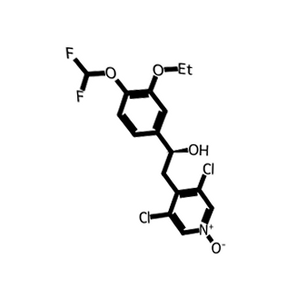 CCOc1cc([C@@H](O)Cc2c(Cl)c[n+]([O-])cc2Cl)ccc1OC(F)F